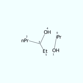 CC(C)O.CCCC(O)CC